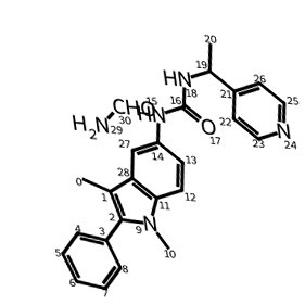 Cc1c(-c2ccccc2)n(C)c2ccc(NC(=O)NC(C)c3ccncc3)cc12.NC=O